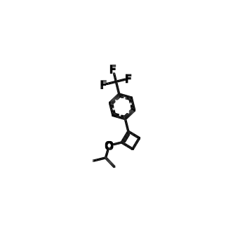 CC(C)OC1=C(c2ccc(C(F)(F)F)cc2)CC1